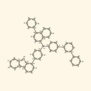 c1ccc(-c2cccc(-c3ccc(N(c4ccc(-c5cccc6c5oc5ccccc56)cc4)c4ccc(-c5ccccc5)c5ccccc45)cc3)c2)cc1